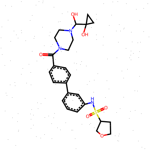 O=C(c1ccc(-c2cccc(NS(=O)(=O)C3CCOC3)c2)cc1)N1CCN(C(O)C2(O)CC2)CC1